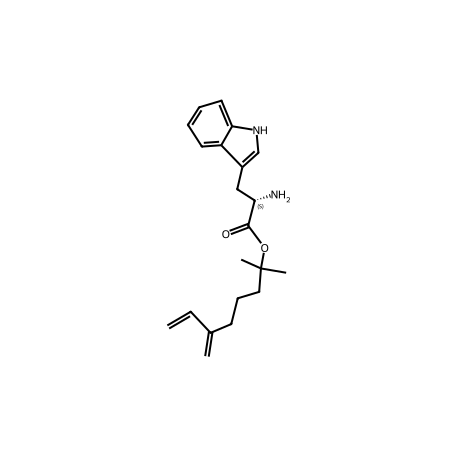 C=CC(=C)CCCC(C)(C)OC(=O)[C@@H](N)Cc1c[nH]c2ccccc12